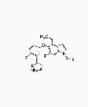 C=Cc1c(Oc2ccc(F)c(-c3cc[nH]n3)c2)c(F)cc2c1ccn2SI